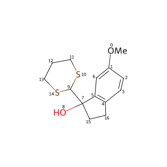 COc1ccc2c(c1)C(O)(C1SCCCS1)CC2